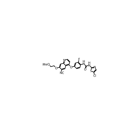 [C-]#[N+]c1cc2c(Oc3ccc(NC(=O)Nc4ncc(Cl)s4)c(F)c3)ccnc2cc1OCCOC